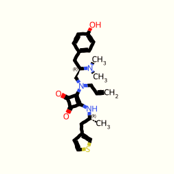 C=CCN(C[C@@H](Cc1ccc(O)cc1)N(C)C)c1c(N[C@H](C)Cc2ccsc2)c(=O)c1=O